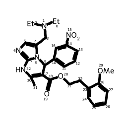 CCN(CC)Cc1cnc2n1C(c1cccc([N+](=O)[O-])c1)C(C(=O)OCCc1ccccc1OC)=C(C)N2